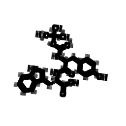 CC(C)(C)OC(=O)N[C@@H](Cc1ccc(O)cc1)C(=O)N[C@@H](Cc1c[nH]c2ccccc12)C(=O)O